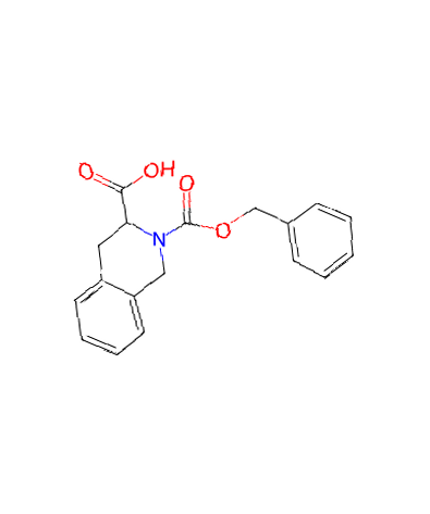 O=C(O)C1Cc2ccccc2CN1C(=O)OCc1ccccc1